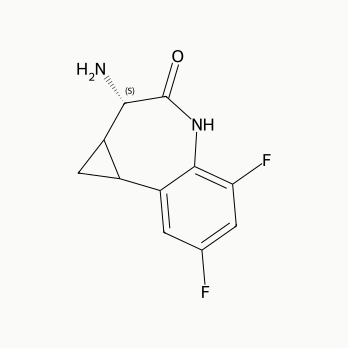 N[C@@H]1C(=O)Nc2c(F)cc(F)cc2C2CC21